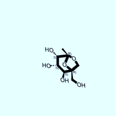 C[C@@]12OC[C@@](CO)(O1)[C@@H](O)[C@H](O)[C@@H]2O